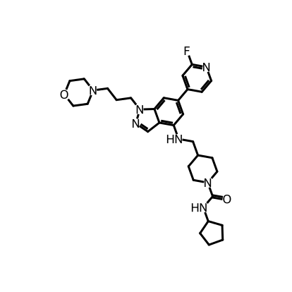 O=C(NC1CCCC1)N1CCC(CNc2cc(-c3ccnc(F)c3)cc3c2cnn3CCCN2CCOCC2)CC1